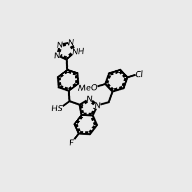 COc1ccc(Cl)cc1Cn1nc(C(S)c2ccc(-c3nnn[nH]3)cc2)c2cc(F)ccc21